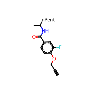 C#CCOc1ccc(C(=O)NC(C)CCCCC)cc1F